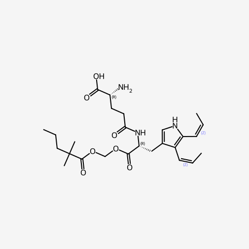 C/C=C\c1[nH]cc(C[C@@H](NC(=O)CC[C@@H](N)C(=O)O)C(=O)OCOC(=O)C(C)(C)CCC)c1/C=C\C